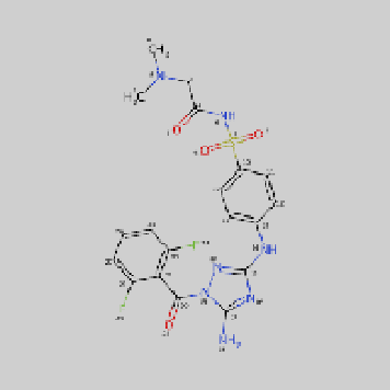 CN(C)CC(=O)NS(=O)(=O)c1ccc(Nc2nc(N)n(C(=O)c3c(F)cccc3F)n2)cc1